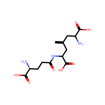 C=C(CC(N)C(=O)O)CC(NC(=O)CC[C@H](N)C(=O)O)C(=O)O